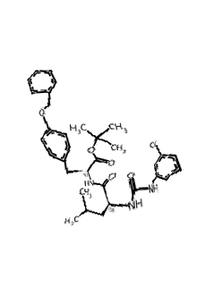 CC(C)C[C@H](NC(=O)Nc1cccc(Cl)c1)C(=O)N[C@@H](Cc1ccc(OCc2ccccc2)cc1)C(=O)OC(C)(C)C